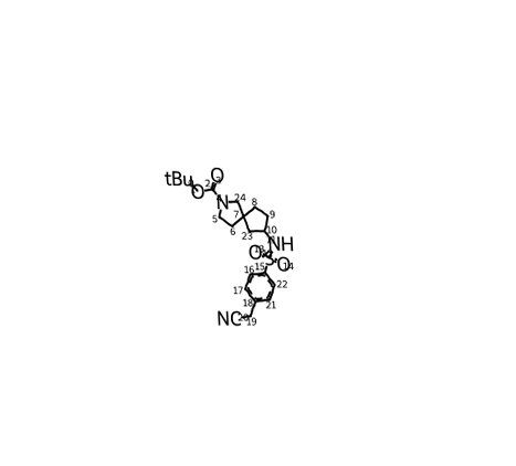 CC(C)(C)OC(=O)N1CCC2(CCC(NS(=O)(=O)c3ccc(CC#N)cc3)C2)C1